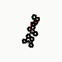 c1cc(-c2ccc(-c3cccc4ccccc34)cc2)cc(N(c2ccc(-c3ccccc3-n3c4ccccc4c4ccccc43)cc2)c2ccccc2-c2ccc3sc4ccccc4c3c2)c1